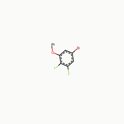 CC(C)Oc1cc(Br)cc(F)c1F